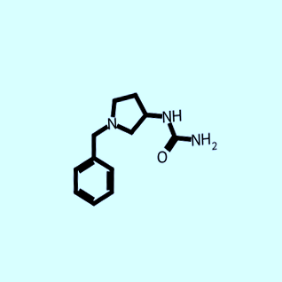 NC(=O)NC1CCN(Cc2ccccc2)C1